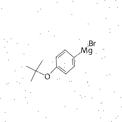 CC(C)(C)Oc1cc[c]([Mg][Br])cc1